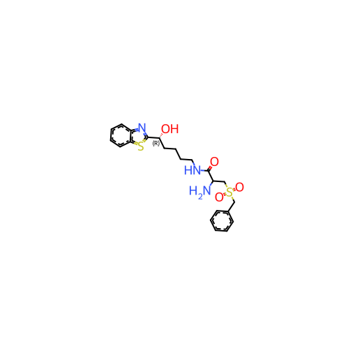 NC(CS(=O)(=O)Cc1ccccc1)C(=O)NCCCC[C@@H](O)c1nc2ccccc2s1